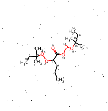 CCCC(OOC(C)(C)CC)C(=O)OOOC(C)(C)CC